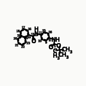 CC(C)(C)OC(=O)Nc1ccc(NC(=O)c2cccc3ccccc23)cc1